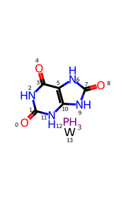 O=c1[nH]c(=O)c2[nH]c(=O)[nH]c2[nH]1.P.[W]